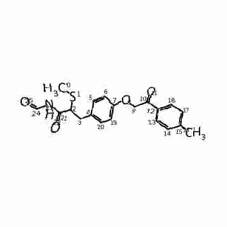 CSC(Cc1ccc(OCC(=O)c2ccc(C)cc2)cc1)C(=O)NC=O